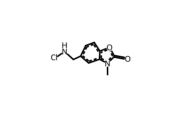 Cn1c(=O)oc2ccc(CNCl)cc21